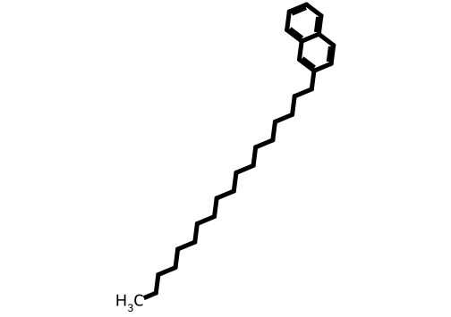 CCCCCCCCCCCCCCCCCCc1ccc2ccccc2c1